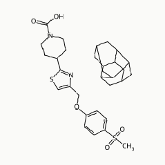 C1C2CC3C4CC5CC(C14)C(C2)C3C5.CS(=O)(=O)c1ccc(OCc2csc(C3CCN(C(=O)O)CC3)n2)cc1